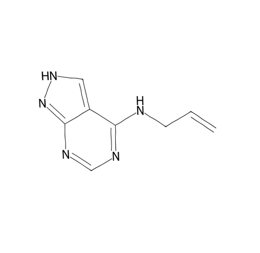 C=CCNc1ncnc2n[nH]cc12